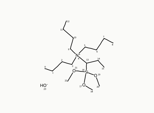 CCCC[N+](CCCC)(CCCC)C(CC)[Si](OC)(OC)OC.[OH-]